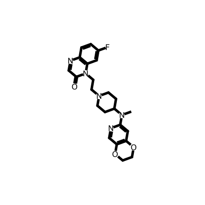 CN(c1cc2c(cn1)OCCO2)C1CCN(CCn2c(=O)cnc3ccc(F)cc32)CC1